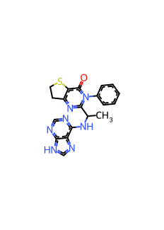 CC(Nc1ncnc2[nH]cnc12)c1nc2c(c(=O)n1-c1ccccc1)SCC2